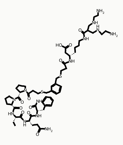 CC[C@H](NC(=O)[C@@H]1CCCN1C(=O)[C@@H]1CCCN1C(=O)CCSCc1cccc(CSCCC(=O)N[C@@H](CCCCNC(=O)C(CNCCN)CNCCN)CC(=O)O)c1)C(=O)N[C@@H](CCC(N)=O)C(=O)N[C@@H](Cc1ccccc1)C(N)=O